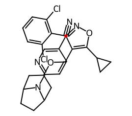 N#Cc1ccc(N2C3CCC2CC(OCc2c(-c4c(Cl)cccc4Cl)noc2C2CC2)C3)nc1